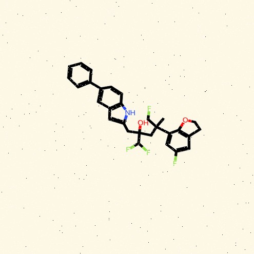 CC(CF)(CC(O)(Cc1cc2cc(-c3ccccc3)ccc2[nH]1)C(F)F)c1cc(F)cc2c1OCC2